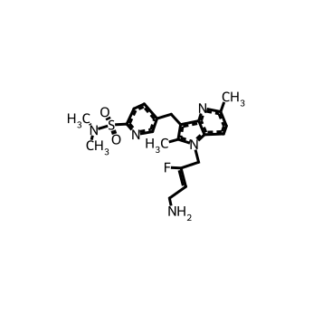 Cc1ccc2c(n1)c(Cc1ccc(S(=O)(=O)N(C)C)nc1)c(C)n2CC(F)=CCN